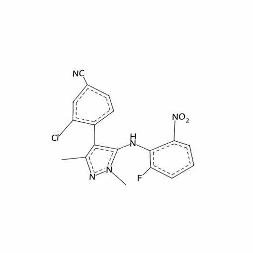 Cc1nn(C)c(Nc2c(F)cccc2[N+](=O)[O-])c1-c1ccc(C#N)cc1Cl